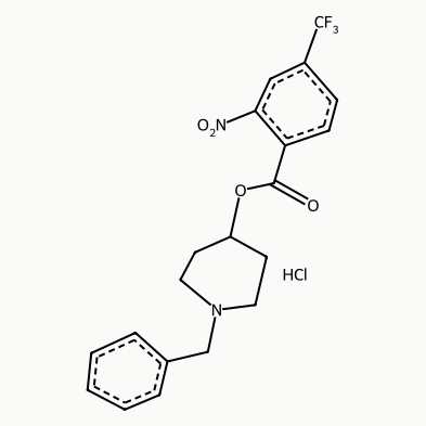 Cl.O=C(OC1CCN(Cc2ccccc2)CC1)c1ccc(C(F)(F)F)cc1[N+](=O)[O-]